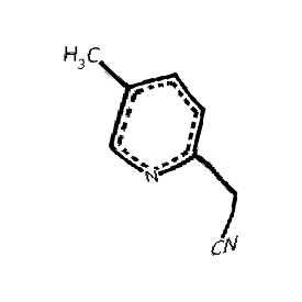 Cc1ccc(CC#N)nc1